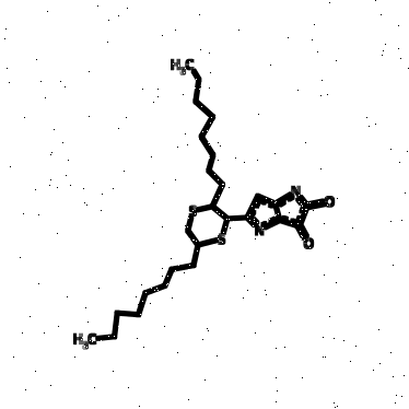 CCCCCCCCC1CSC(CCCCCCCC)C(c2cc3nc(=O)c(=O)c-3n2)S1